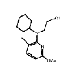 COc1ccc(C)c(N(CCO)C2CCCCC2)n1